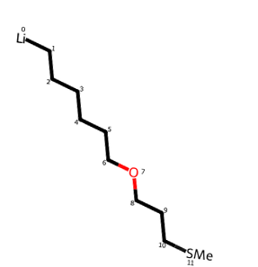 [Li][CH2]CCCCCOCCCSC